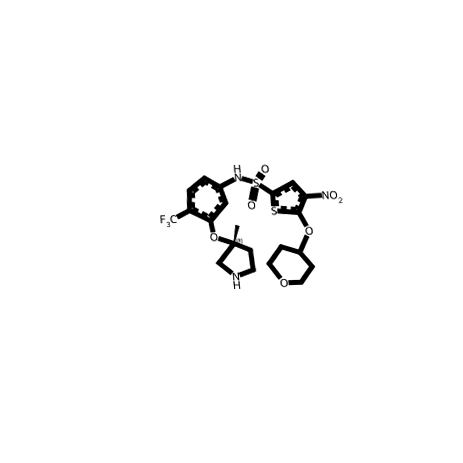 C[C@@]1(Oc2cc(NS(=O)(=O)c3cc([N+](=O)[O-])c(OC4CCOCC4)s3)ccc2C(F)(F)F)CCNC1